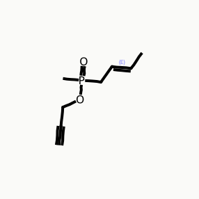 C#CCOP(C)(=O)C/C=C/C